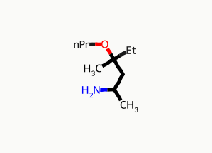 CCCOC(C)(CC)CC(C)N